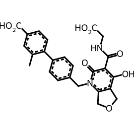 Cc1cc(C(=O)O)ccc1-c1ccc(Cn2c3c(c(O)c(C(=O)NCC(=O)O)c2=O)COC3)cc1